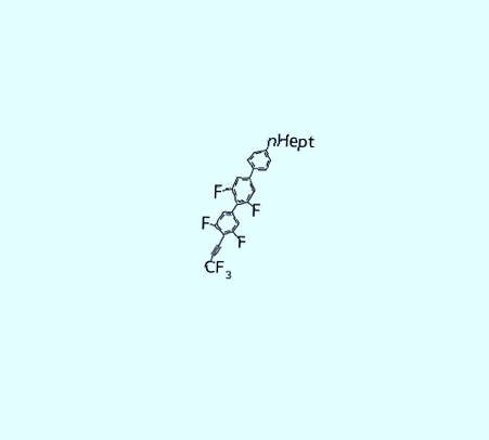 CCCCCCCc1ccc(-c2cc(F)c(-c3cc(F)c(C#CC(F)(F)F)c(F)c3)c(F)c2)cc1